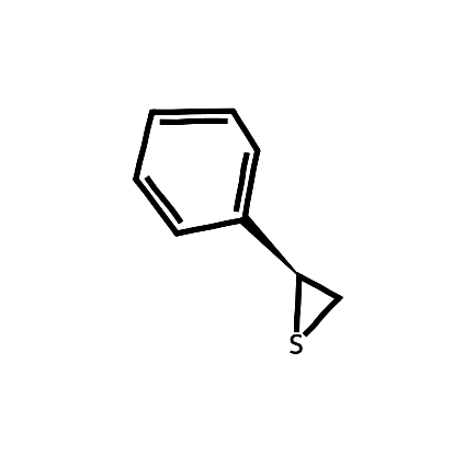 c1ccc([C@H]2CS2)cc1